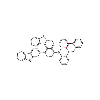 c1ccc(N(c2ccc(-c3ccc4c(c3)sc3ccccc34)cc2)c2ccccc2-c2ccc3c(c2)sc2ccccc23)c(-c2ccc3ccccc3c2)c1